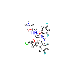 COC(CNC(=O)C1(C)C(c2ccc(Cl)o2)C(c2ccc(F)cc2F)=NN1c1ccc(F)cc1F)CN(C)C